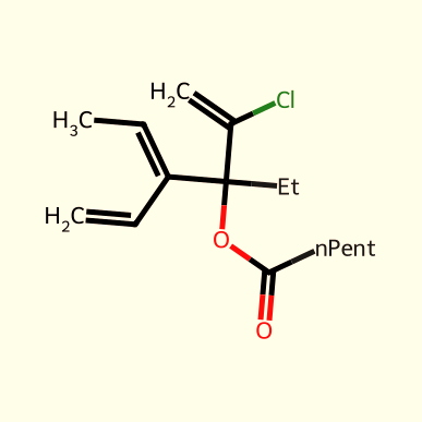 C=CC(=CC)C(CC)(OC(=O)CCCCC)C(=C)Cl